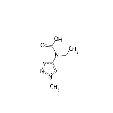 CCN(C(=O)O)c1cnn(C)c1